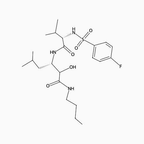 CCCCNC(=O)C(O)[C@H](CC(C)C)NC(=O)[C@@H](NS(=O)(=O)c1ccc(F)cc1)C(C)C